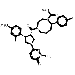 COC(=O)N1CCN(C(=O)[C@@H]2CN(c3ccc(=O)n(C)n3)C[C@H]2c2ccc(OC)cc2F)CCCC1c1ccc(Cl)cc1